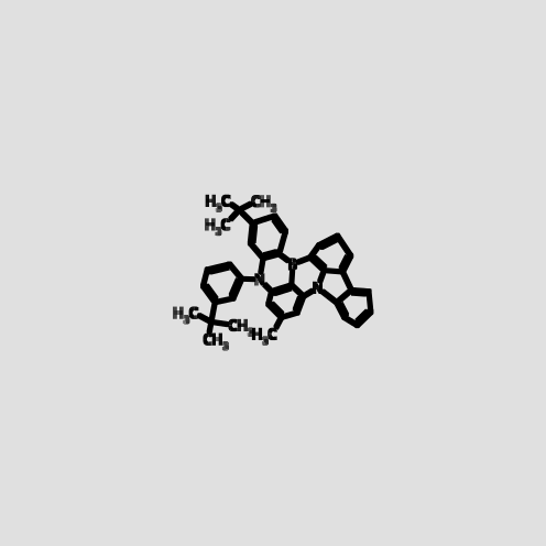 Cc1cc2c3c(c1)-n1c4ccccc4c4cccc(c41)B3c1ccc(C(C)(C)C)cc1N2c1cccc(C(C)(C)C)c1